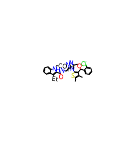 CCc1c(C(=O)NCc2nnc(C)n2-c2sc(C)c(C)c2C(=O)c2ccccc2Cl)n(CC(=O)O)c2ccccc12